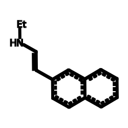 CCNC=Cc1ccc2ccccc2c1